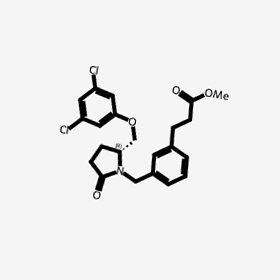 COC(=O)CCc1cccc(CN2C(=O)CC[C@@H]2COc2cc(Cl)cc(Cl)c2)c1